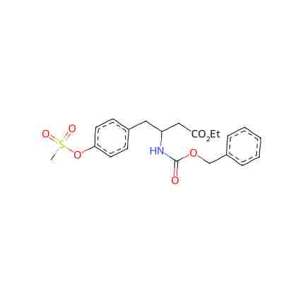 CCOC(=O)CC(Cc1ccc(OS(C)(=O)=O)cc1)NC(=O)OCc1ccccc1